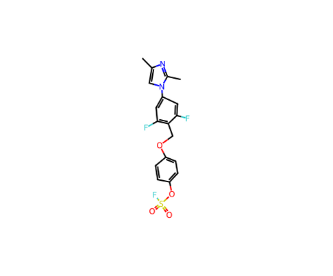 Cc1cn(-c2cc(F)c(COc3ccc(OS(=O)(=O)F)cc3)c(F)c2)c(C)n1